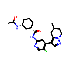 CC1CCn2ncc(-c3cc(NC(=O)[C@H]4CCC[C@@H](NC(C)O)C4)ncc3Cl)c2C1